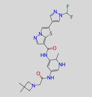 CC1NC=C(NC(=O)CN2CC(C)(C)C2)C=C1NC(=O)c1cnn2cc(-c3cnn(C(F)F)c3)sc12